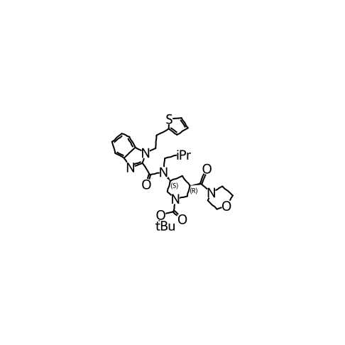 CC(C)CN(C(=O)c1nc2ccccc2n1CCc1cccs1)[C@H]1C[C@@H](C(=O)N2CCOCC2)CN(C(=O)OC(C)(C)C)C1